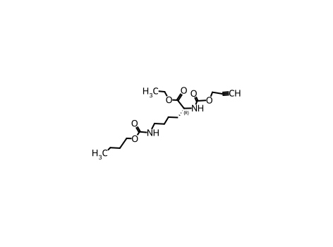 C#CCOC(=O)N[C@H](CCCCNC(=O)OCCCC)C(=O)OCC